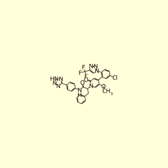 COc1cn(C(Cc2ccccc2)C(=O)Nc2ccc(-c3nn[nH]n3)cc2)c(=O)cc1-c1cc(Cl)ccc1-n1cc(C(F)(F)F)nn1